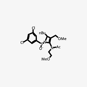 CCCCC1C(COC)=C(N(CCOC)C(C)=O)N1[S+]([O-])c1cc(Cl)cc(Cl)c1